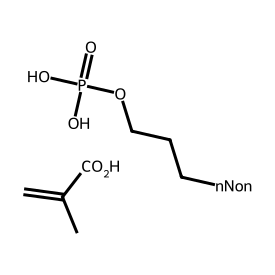 C=C(C)C(=O)O.CCCCCCCCCCCCOP(=O)(O)O